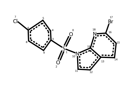 O=S(=O)(c1ccc(Cl)cc1)n1ccc2ccc(Br)nc21